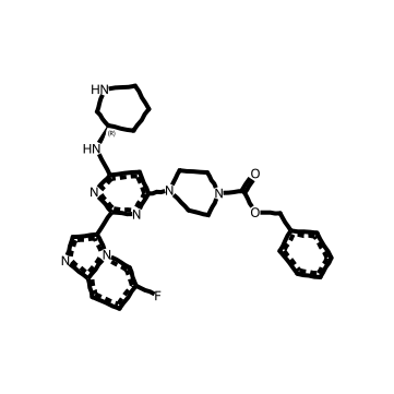 O=C(OCc1ccccc1)N1CCN(c2cc(N[C@@H]3CCCNC3)nc(-c3cnc4ccc(F)cn34)n2)CC1